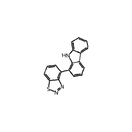 c1ccc2c(c1)[nH]c1c(-c3cccc4snnc34)cccc12